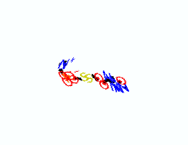 Cn1nnc2c(C(=O)OCCSSCCOP(=O)([O-])OCC[N+](C)(C)C)ncn2c1=O